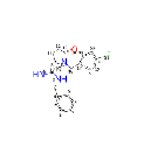 N=C(NCc1ccccc1)[C@@H]1CCC(=O)N1Cc1ccc(F)cc1